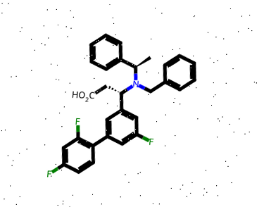 C[C@H](c1ccccc1)N(Cc1ccccc1)[C@@H](CC(=O)O)c1cc(F)cc(-c2ccc(F)cc2F)c1